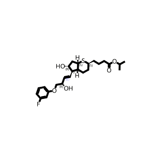 CC(C)OC(=O)CCC[C@H]1CC[C@@H]2[C@@H](/C=C/[C@@H](O)COc3cccc(F)c3)[C@H](O)C[C@@H]2S1